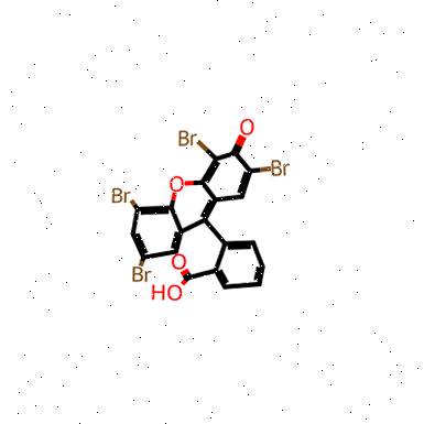 O=C(O)c1ccccc1-c1c2cc(Br)c(=O)c(Br)c-2oc2c(Br)cc(Br)cc12